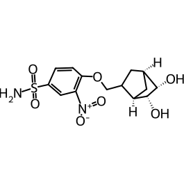 NS(=O)(=O)c1ccc(OCC2C[C@@H]3C[C@H]2[C@@H](O)[C@H]3O)c([N+](=O)[O-])c1